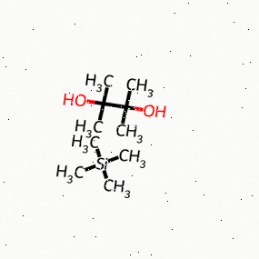 CC(C)(O)C(C)(C)O.C[Si](C)(C)C